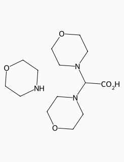 C1COCCN1.O=C(O)C(N1CCOCC1)N1CCOCC1